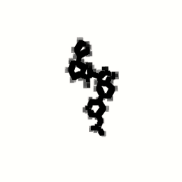 CN(C)Cc1cncc(-c2ccc3[nH]nc(-c4nc5c(-c6ccsc6)cccc5[nH]4)c3c2)c1